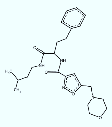 CC(C)CCNC(=O)C(CCc1ccccc1)NC(=O)c1cc(CN2CCOCC2)on1